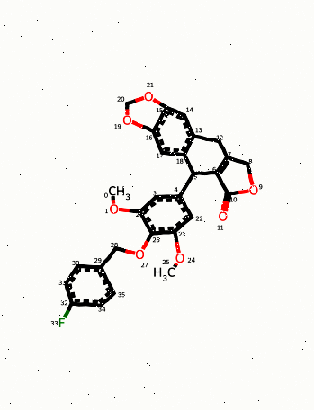 COc1cc(C2C3=C(COC3=O)Cc3cc4c(cc32)OCO4)cc(OC)c1OCc1ccc(F)cc1